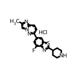 Cc1cn2nc(-c3cc(F)c4nc(C5CCNCC5)sc4c3)ccc2n1.Cl